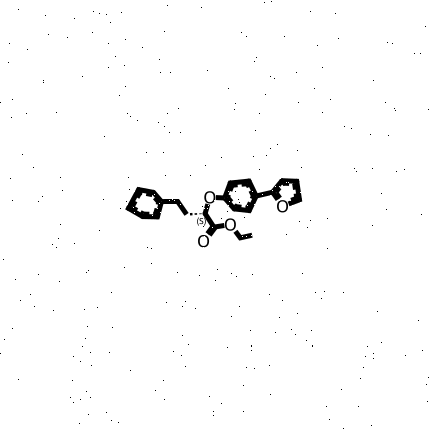 CCOC(=O)[C@H](CCc1ccccc1)Oc1ccc(-c2ccco2)cc1